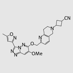 COc1cc2nnc(-c3cc(C)on3)n2nc1OCc1ccc2c(n1)CCN(C1CC(C#N)C1)C2